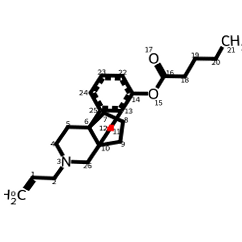 C=CCN1CCC23CCCC2(CCc2c(OC(=O)CCCC)cccc23)C1